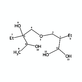 CCC(COCC(O)(CC)C(C)O)C(O)O